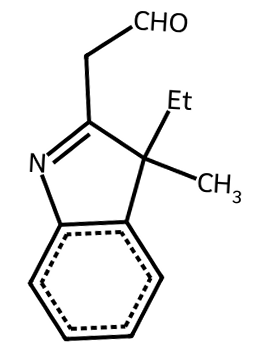 CCC1(C)C(CC=O)=Nc2ccccc21